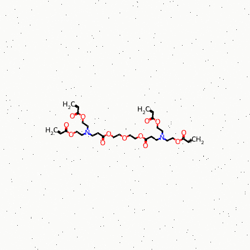 C=CC(=O)OCCN(CCOC(=O)C=C)CCC(=O)OCCOCCOC(=O)CCN(CCOC(=O)C=C)CCOC(=O)C=C